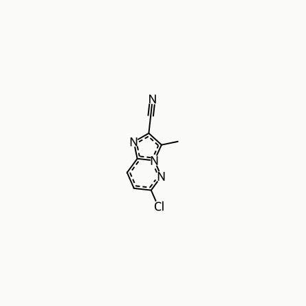 Cc1c(C#N)nc2ccc(Cl)nn12